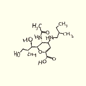 CCC(C)CN[C@H]1C=C(C(=O)O)O[C@@H]([C@H](O)[C@H](O)CO)[C@@H]1NC(C)=O